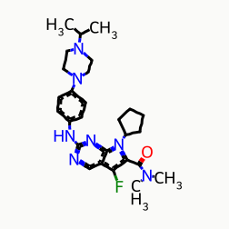 CC(C)N1CCN(c2ccc(Nc3ncc4c(F)c(C(=O)N(C)C)n(C5CCCC5)c4n3)cc2)CC1